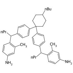 CCCCC1CCC(c2ccc(C(CCC)c3ccc(N)cc3C)cc2)(c2ccc(C(CCC)c3ccc(N)cc3C)cc2)CC1